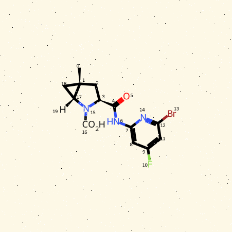 C[C@@]12C[C@@H](C(=O)Nc3cc(F)cc(Br)n3)N(C(=O)O)[C@@H]1C2